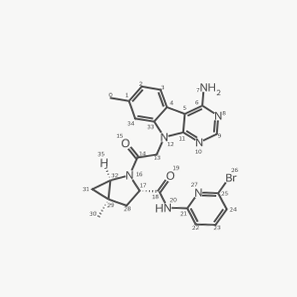 Cc1ccc2c3c(N)ncnc3n(CC(=O)N3[C@H](C(=O)Nc4cccc(Br)n4)C[C@@]4(C)C[C@@H]34)c2c1